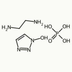 NCCN.O=P(O)(O)O.On1ccnn1